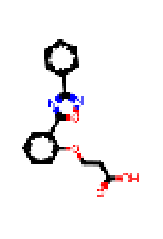 O=C(O)CCOc1ccccc1-c1nc(-c2ccccc2)no1